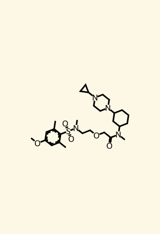 COc1cc(C)c(S(=O)(=O)N(C)CCOCC(=O)N(C)C2CCCC(N3CCN(C4CC4)CC3)C2)c(C)c1